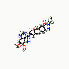 CCC(C)(C)NC(=O)c1cccc(Oc2ccc(Nc3ncnc4cc(OC)c(OC)cc34)cc2C)c1